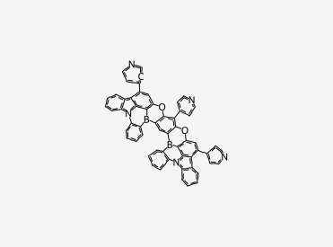 c1ccc2c(c1)B1c3cc4c(c(-c5ccncc5)c3Oc3cc(-c5ccncc5)c5c6ccccc6n-2c5c31)Oc1cc(-c2ccncc2)c2c3ccccc3n3c2c1B4c1ccccc1-3